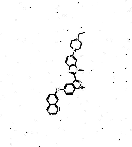 CCN1CCN(c2ccc3nc(-c4n[nH]c5ccc(Oc6ccc7cccnc7c6)cc45)n(C)c3c2)CC1